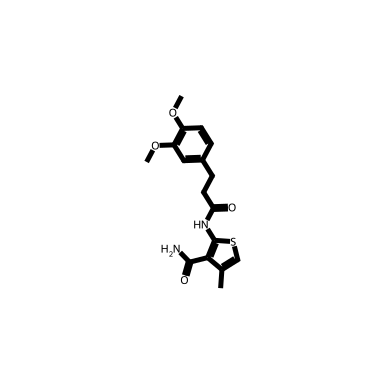 COc1ccc(CCC(=O)Nc2scc(C)c2C(N)=O)cc1OC